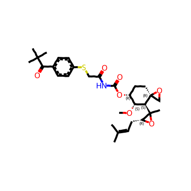 CO[C@H]1[C@H](C2(C)O[C@@H]2CC=C(C)C)[C@]2(CC[C@H]1OC(=O)NC(=O)CSc1ccc(C(=O)C(C)(C)C)cc1)CO2